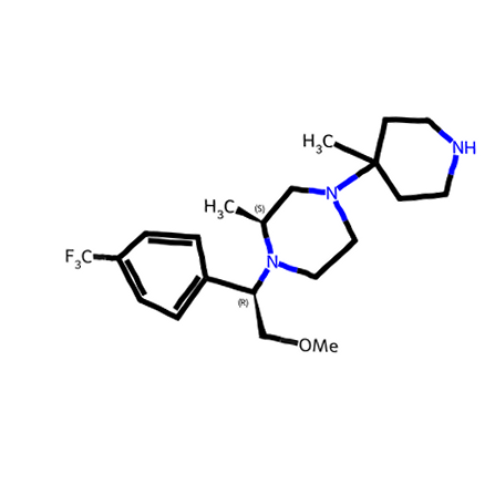 COC[C@@H](c1ccc(C(F)(F)F)cc1)N1CCN(C2(C)CCNCC2)C[C@@H]1C